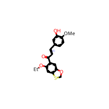 CCOc1cc2c(cc1C(=O)/C=C/c1ccc(OC)c(O)c1)OCS2